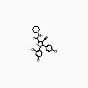 N#Cc1c(C(=O)NN2CCCCC2)nn(-c2ccc(Cl)cc2Cl)c1-c1ccc(Cl)cc1